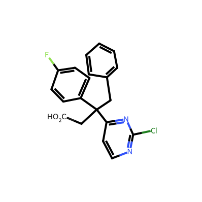 O=C(O)CC(Cc1ccccc1)(c1ccc(F)cc1)c1ccnc(Cl)n1